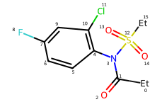 CCC(=O)N(c1c[c]c(F)cc1Cl)S(=O)(=O)CC